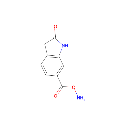 NOC(=O)c1ccc2c(c1)NC(=O)C2